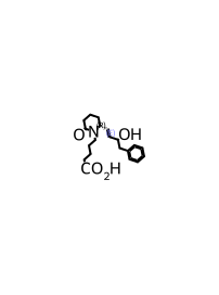 O=C(O)CCCCN1C(=O)CCC[C@@H]1/C=C/C(O)Cc1ccccc1